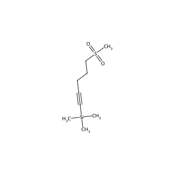 C[Si](C)(C)C#CCCCS(C)(=O)=O